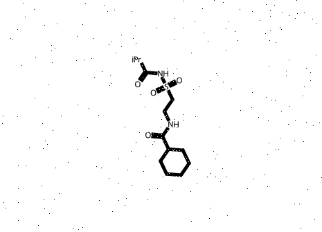 CC(C)C(=O)NS(=O)(=O)CCNC(=O)C1CCCCC1